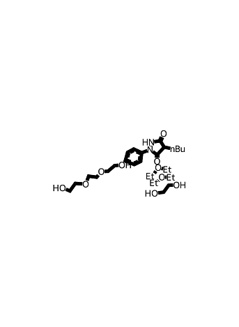 CCCCC1C(=O)NN(c2ccccc2)C1=O.CCOCC.CCOCC.OCCO.OCCOCCOCCO